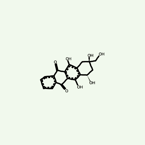 O=C1c2ccccc2C(=O)c2c(O)c3c(c(O)c21)C[C@](O)(CO)C[C@@H]3O